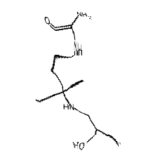 [CH2]C(O)CNC(C)(C)CNC(N)=O